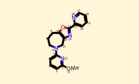 COc1cccc(N2CCCc3oc(-c4ccccn4)nc3C2)n1